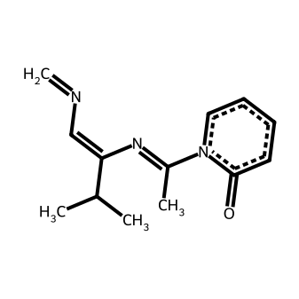 C=N/C=C(\N=C(/C)n1ccccc1=O)C(C)C